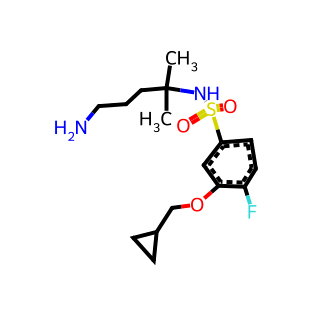 CC(C)(CCCN)NS(=O)(=O)c1ccc(F)c(OCC2CC2)c1